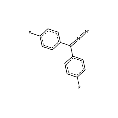 [N-]=[N+]=C(c1ccc(F)cc1)c1ccc(F)cc1